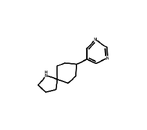 c1ncc(C2CCC3(CCCN3)CC2)cn1